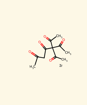 CC(=O)CC(=O)C(C(C)=O)(C(C)=O)C(C)=O.[Zr]